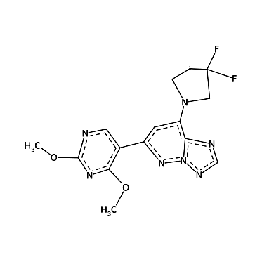 COc1ncc(-c2cc(N3C[CH]C(F)(F)C3)c3ncnn3n2)c(OC)n1